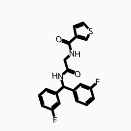 O=C(CNC(=O)c1ccsc1)NC(c1cccc(F)c1)c1cccc(F)c1